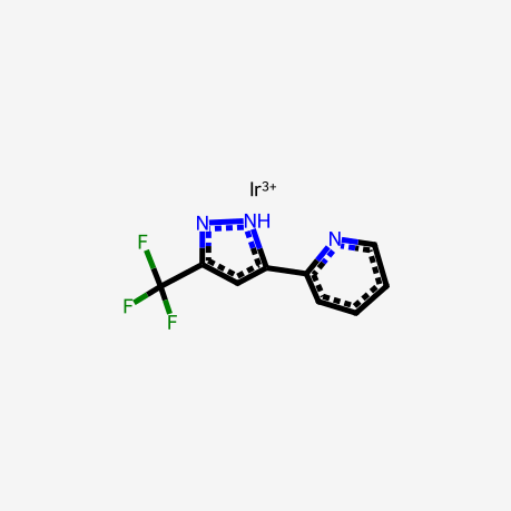 FC(F)(F)c1cc(-c2ccccn2)[nH]n1.[Ir+3]